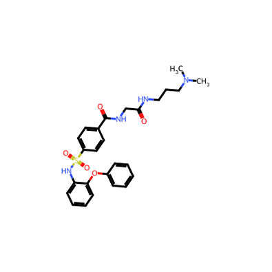 CN(C)CCCNC(=O)CNC(=O)c1ccc(S(=O)(=O)Nc2ccccc2Oc2ccccc2)cc1